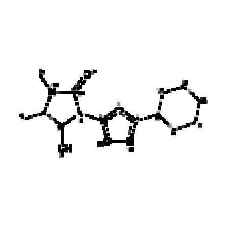 CC1C(O)N(c2cc(C3CCCCC3)no2)C(=O)N1C